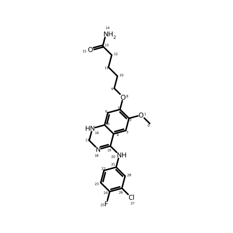 COc1cc2c(cc1OCCCCC(N)=O)NCN=C2Nc1ccc(F)c(Cl)c1